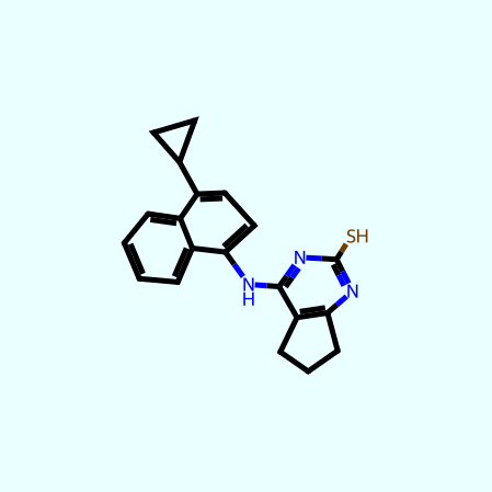 Sc1nc2c(c(Nc3ccc(C4CC4)c4ccccc34)n1)CCC2